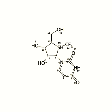 O=c1ccn([C@@H]2[C@H](O)[C@H](O)[C@@H](CO)[SH]2C(F)(F)F)c(=O)[nH]1